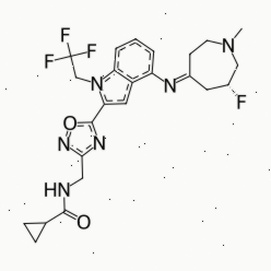 CN1CC/C(=N\c2cccc3c2cc(-c2nc(CNC(=O)C4CC4)no2)n3CC(F)(F)F)C[C@@H](F)C1